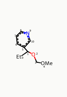 CCC(OCOC)c1cccnc1